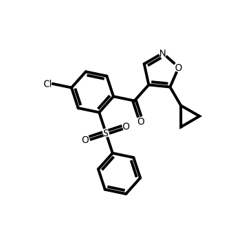 O=C(c1ccc(Cl)cc1S(=O)(=O)c1ccccc1)c1cnoc1C1CC1